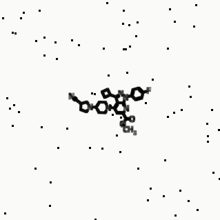 COC(=O)c1cc(N2CCC(N3CCC(C#N)C3)CC2)c2c(C3CCC3)nn(-c3ccc(F)cc3)c2n1